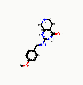 COc1ccc(CNc2nc3c(c(=O)[nH]2)CCNC3)cc1